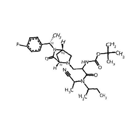 CCC(C)N(C(=O)C(CN1C[C@@H]2C[C@H]1C(=O)N2[C@@H](C)c1ccc(F)cc1)NC(=O)OC(C)(C)C)C(C)C#N